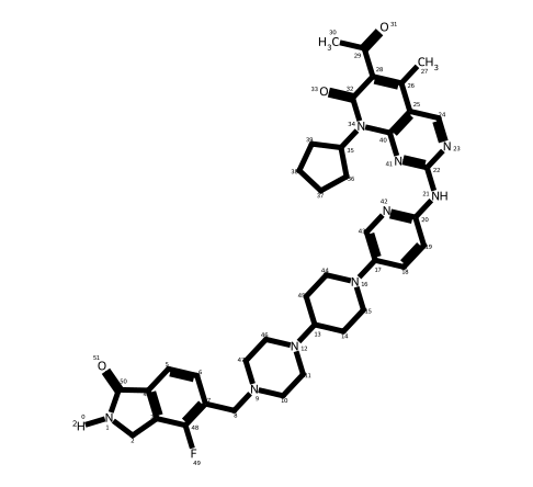 [2H]N1Cc2c(ccc(CN3CCN(C4CCN(c5ccc(Nc6ncc7c(C)c(C(C)=O)c(=O)n(C8CCCC8)c7n6)nc5)CC4)CC3)c2F)C1=O